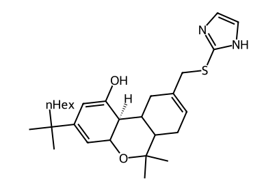 CCCCCCC(C)(C)C1=CC2OC(C)(C)C3CC=C(CSc4ncc[nH]4)CC3[C@@H]2C(O)=C1